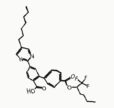 CCCCCCCc1cnc(-c2ccc(C(=O)O)c(-c3ccc(C(=O)OC(CCCC)C(F)(F)F)cc3)c2)nc1